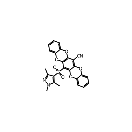 Cc1nn(C)c(C)c1S(=O)(=O)c1c2oc3ccccc3oc2c(C#N)c2oc3ccccc3oc12